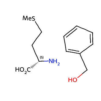 CSCC[C@H](N)C(=O)O.OCc1ccccc1